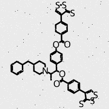 CC(C(OC(=O)c1ccc(-c2cssc2=S)cc1)c1ccc(OC(=O)C2=CC=C(c3cssc3=S)CC2)cc1)N1CCC(CC2C=CC=CC2)CC1